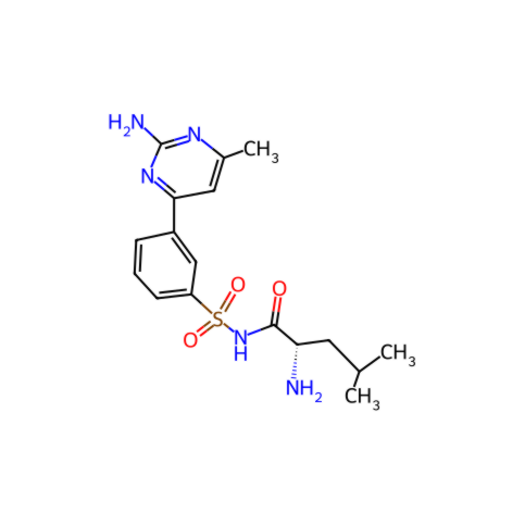 Cc1cc(-c2cccc(S(=O)(=O)NC(=O)[C@@H](N)CC(C)C)c2)nc(N)n1